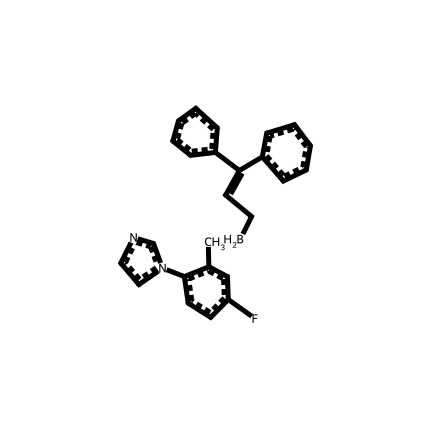 BCC=C(c1ccccc1)c1ccccc1.Cc1cc(F)ccc1-n1ccnc1